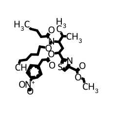 CCCCCCON(C(=O)CCCC)C(CC(OC(=O)Cc1ccc([N+](=O)[O-])cc1)c1nc(C(=O)OCC)cs1)C(C)C